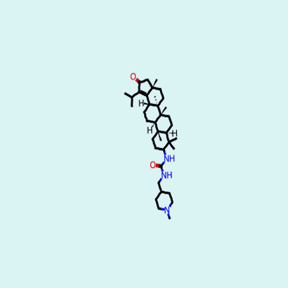 CC(C)C1=C2[C@H]3CC[C@@H]4[C@@]5(C)CCC(NC(=O)NCC6CCN(C)CC6)C(C)(C)[C@@H]5CC[C@@]4(C)[C@]3(C)CC[C@@]2(C)CC1=O